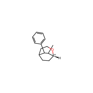 CC1C(c2ccccc2)C2CCO[C@@H]1CC2